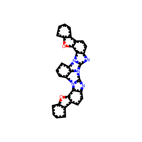 c1ccc2c(c1)oc1c2ccc2nc3n(c4cccc5c4n3c3nc4ccc6c7ccccc7oc6c4n53)c21